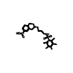 Cc1c(C)c(C)c(S(=O)(=O)NCCCCN2CCc3ccc([N+](=O)O)cc3C2)c(C)c1C